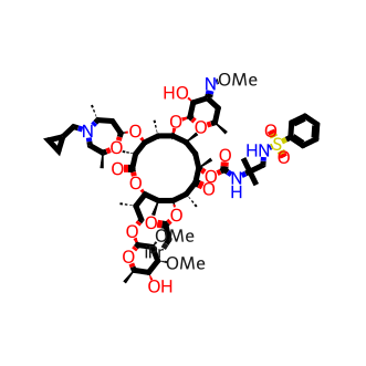 CO/N=C1\C[C@@H](C)O[C@@H](O[C@@H]2[C@@H](C)[C@H](O[C@H]3C[C@@H](C)N(CC4CC4)C[C@H](C)O3)[C@@H](C)C(=O)O[C@H]([C@@H](C)CO[C@@H]3O[C@H](C)[C@@H](O)[C@@H](OC)[C@H]3OC)[C@H](C)[C@@H](OC(=O)CC(C)C)[C@@H](C)C(=O)[C@@](C)(OC(=O)NC(C)(C)CNS(=O)(=O)c3ccccc3)C[C@@H]2C)[C@@H]1O